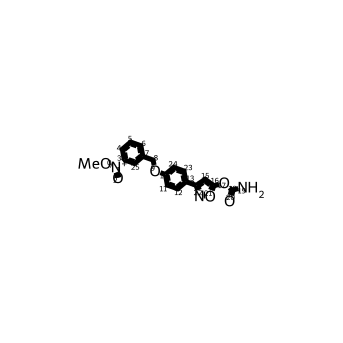 CO[N+](=O)c1cccc(COc2ccc(-c3cc(OC(N)=O)on3)cc2)c1